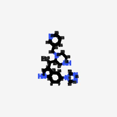 CCC(c1c[nH]c2ccc(-n3cnnc3)cc12)C1CNCCN1Cc1cccnc1